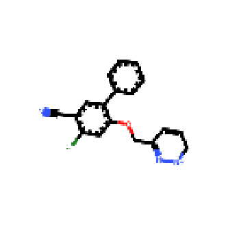 N#Cc1cc(-c2ccccc2)c(OCC2=NNCC=C2)cc1Cl